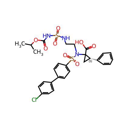 CC(C)OC(=O)NS(=O)(=O)NCCN(C1(C(=O)O)C[C@H]1c1ccccc1)S(=O)(=O)c1ccc(-c2ccc(Cl)cc2)cc1